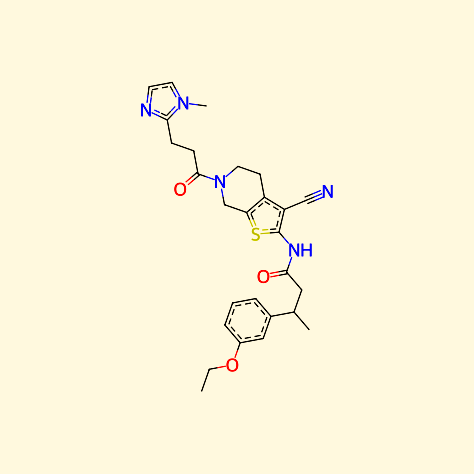 CCOc1cccc(C(C)CC(=O)Nc2sc3c(c2C#N)CCN(C(=O)CCc2nccn2C)C3)c1